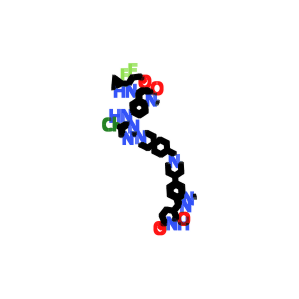 Cn1nc(C2CCC(=O)NC2=O)c2ccc(C3CCN(CC4CCC5(CC4)CCN(c4ncc(Cl)c(Nc6ccc7c(c6)c6c(c(=O)n7C)OCC(F)(F)C(C7CC7)N6)n4)CC5)CC3)cc21